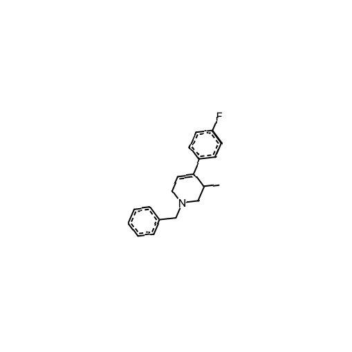 CC1CN(Cc2ccccc2)CC=C1c1ccc(F)cc1